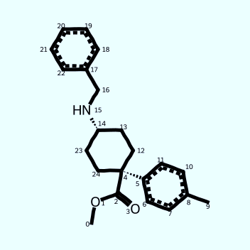 COC(=O)[C@]1(c2ccc(C)cc2)CC[C@@H](NCc2ccccc2)CC1